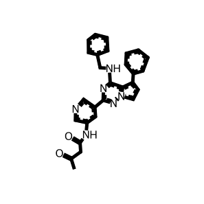 CC(=O)CC(=O)Nc1cncc(-c2nc(NCc3ccccc3)c3c(-c4ccccc4)ccn3n2)c1